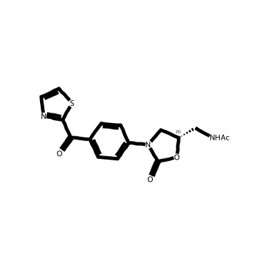 CC(=O)NC[C@H]1CN(c2ccc(C(=O)c3nccs3)cc2)C(=O)O1